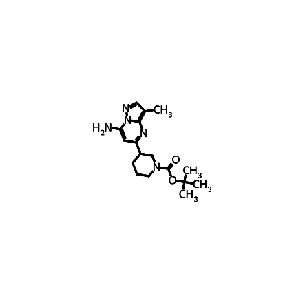 Cc1cnn2c(N)cc(C3CCCN(C(=O)OC(C)(C)C)C3)nc12